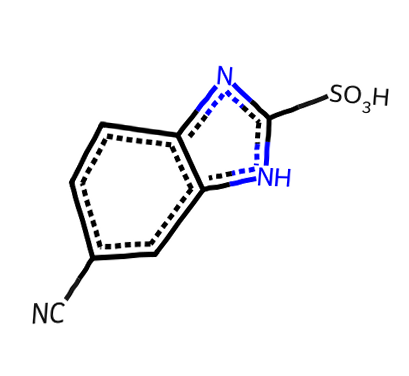 N#Cc1ccc2nc(S(=O)(=O)O)[nH]c2c1